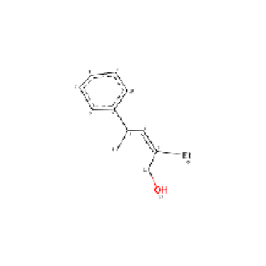 CC/C(=C/C(C)c1ccccc1)CO